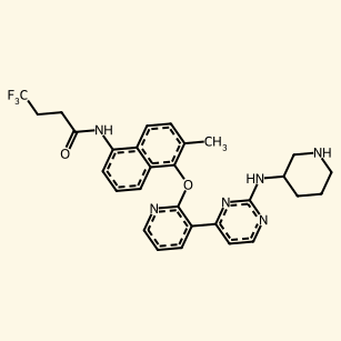 Cc1ccc2c(NC(=O)CCC(F)(F)F)cccc2c1Oc1ncccc1-c1ccnc(NC2CCCNC2)n1